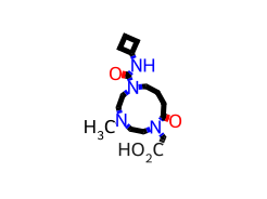 CN1CCN(CC(=O)O)C(=O)CCCN(C(=O)NC2CCC2)CC1